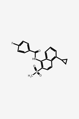 CS(=O)(=O)c1ccc2c(C3CC3)cccc2c1NC(=O)c1ccc(F)cc1